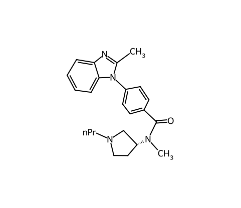 CCCN1CC[C@@H](N(C)C(=O)c2ccc(-n3c(C)nc4ccccc43)cc2)C1